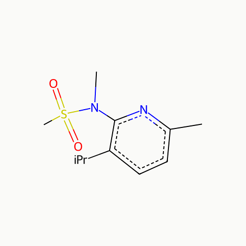 Cc1ccc(C(C)C)c(N(C)S(C)(=O)=O)n1